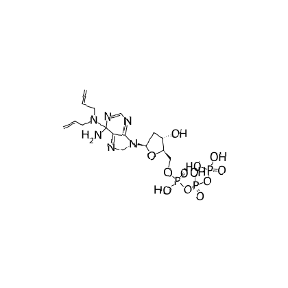 C=CCN(CC=C)C1(N)N=CN=C2C1=NCN2[C@H]1C[C@H](O)[C@@H](COP(=O)(O)OP(=O)(O)OP(=O)(O)O)O1